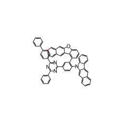 c1ccc(-c2ccc(-c3nc(-c4ccccc4)nc(-c4ccc(-n5c6ccccc6c6cc7ccccc7cc65)c(-c5cccc6oc7cc8ccccc8cc7c56)c4)n3)cc2)cc1